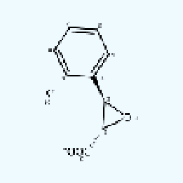 O=C([O-])[C@H]1O[C@@H]1c1ccccc1.[K+]